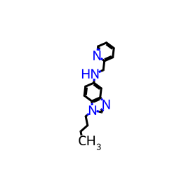 CCCCn1cnc2cc(NCc3ccccn3)ccc21